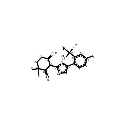 Cc1ccc(-c2csc(C3C(=O)CCC(C)(C)C3=O)n2)c(C(F)(F)F)c1